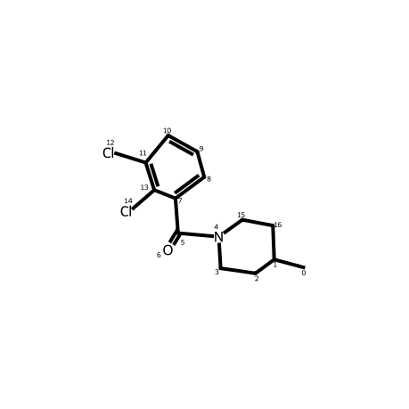 CC1CCN(C(=O)c2cccc(Cl)c2Cl)CC1